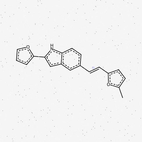 Cc1ccc(/C=C/c2ccc3[nH]c(-c4ccco4)cc3c2)o1